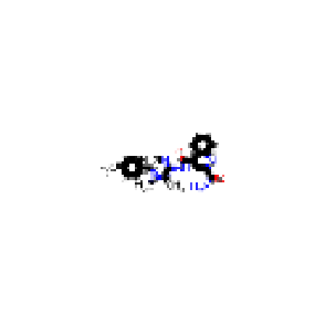 C=N/C(NC(=O)c1cc(C(N)=O)nc2ccccc12)=C(/C)N(C)Cc1ccc(C(F)(F)F)cc1